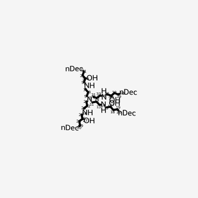 CCCCCCCCCCCCC(O)CNCCC[N+](CCCNCC(O)CCCCCCCCCCCC)(CCCNCC(O)CCCCCCCCCCCC)CCCNCC(O)CCCCCCCCCCCC